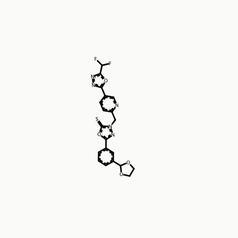 FC(F)c1nnc(-c2ccc(Cn3nc(-c4cccc(C5OCCO5)c4)oc3=S)nc2)o1